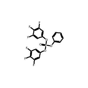 O=P(Oc1ccccc1)(Oc1cc(F)c(F)c(F)c1)Oc1cc(F)c(F)c(F)c1